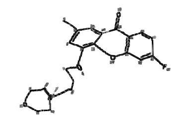 Cc1cc(OCCN2CCOCC2)c2oc3cc(F)ccc3c(=O)c2c1